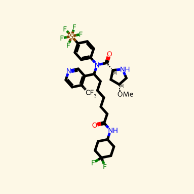 CO[C@H]1CN[C@@H](C(=O)N(c2ccc(S(F)(F)(F)(F)F)cc2)C(CCCCCC(=O)NC2CCC(F)(F)CC2)c2cnccc2C(F)(F)F)C1